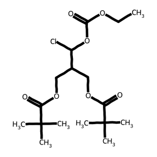 CCOC(=O)OC(Cl)C(COC(=O)C(C)(C)C)COC(=O)C(C)(C)C